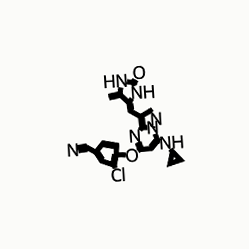 C=c1[nH]c(=O)[nH]/c1=C\c1cnn2c(NC3CC3)cc(Oc3ccc(C#N)cc3Cl)nc12